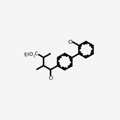 CCOC(=O)C(C)C(C)C(Cl)c1ccc(-c2ccccc2Cl)cc1